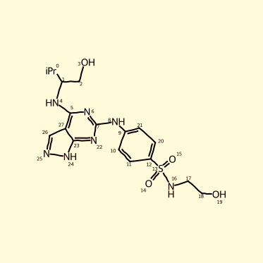 CC(C)C(CO)Nc1nc(Nc2ccc(S(=O)(=O)NCCO)cc2)nc2[nH]ncc12